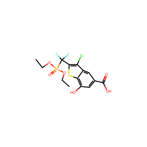 CCOP(=O)(OCC)C(F)(F)c1sc2c(O)cc(C(=O)O)cc2c1Cl